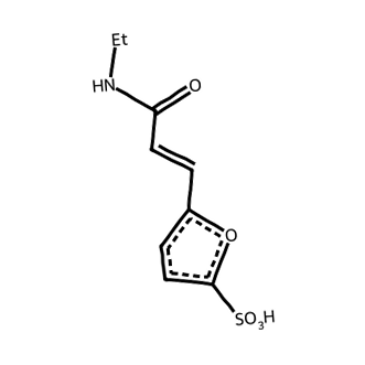 CCNC(=O)/C=C/c1ccc(S(=O)(=O)O)o1